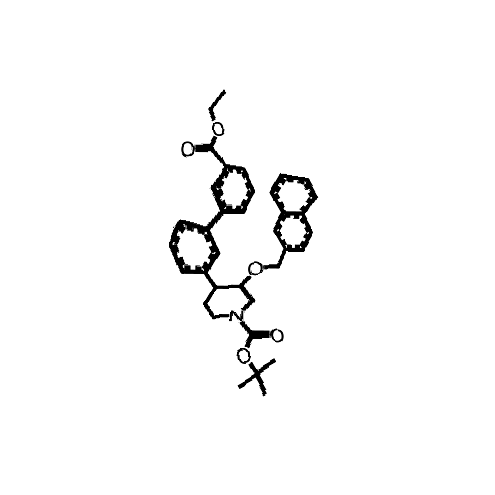 CCOC(=O)c1cccc(-c2cccc(C3CCN(C(=O)OC(C)(C)C)CC3OCc3ccc4ccccc4c3)c2)c1